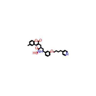 Cc1ccc2oc(=O)c(CC(CCc3cccc(OCCCCc4ccncc4)c3)C(=O)NO)cc2c1